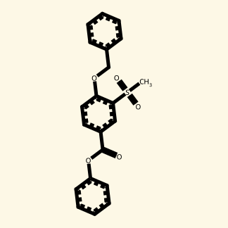 CS(=O)(=O)c1cc(C(=O)Oc2ccccc2)ccc1OCc1ccccc1